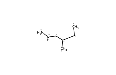 CCC(C)CNN